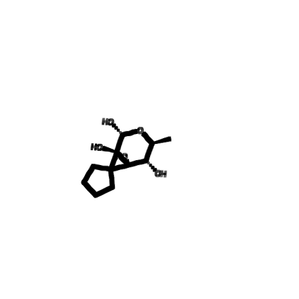 C[C@@H]1O[C@@H](O)[C@@]2(O)C3(CCCC3)[C@@]2(O)[C@H]1O